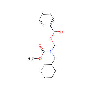 COC(=O)N(COC(=O)c1ccccc1)CC1CCCCC1